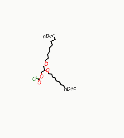 CCCCCCCCCCCCCCCCCCOCC(COC(=O)Cl)OCCCCCCCCCCCCCCCCCC